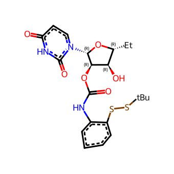 CC[C@H]1O[C@@H](n2ccc(=O)[nH]c2=O)[C@H](OC(=O)Nc2ccccc2SSC(C)(C)C)[C@@H]1O